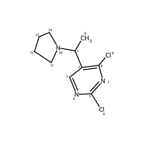 CC(c1cnc(Cl)nc1Cl)N1CCCC1